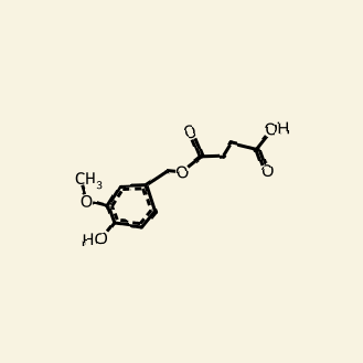 COc1cc(COC(=O)CCC(=O)O)ccc1O